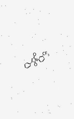 O=C1C=C(c2ccccc2)C(=O)N1c1cccc(C(F)(F)F)c1